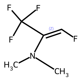 CN(C)/C(=C\F)C(F)(F)F